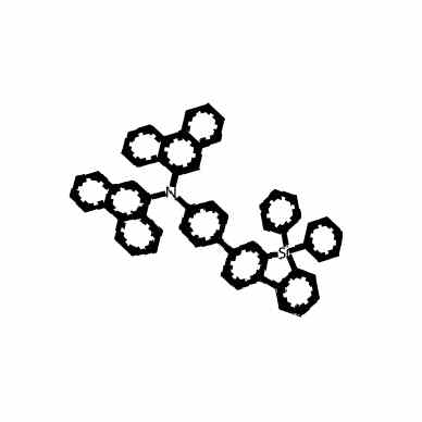 c1ccc([Si]2(c3ccccc3)c3ccccc3-c3ccc(-c4ccc(N(c5cc6ccccc6c6ccccc56)c5cc6ccccc6c6ccccc56)cc4)cc32)cc1